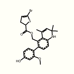 COc1cc(O)ccc1-c1ccc2c(c1COC(=O)C1CC=C(Br)S1)C(C)=CC(C)(C)N2